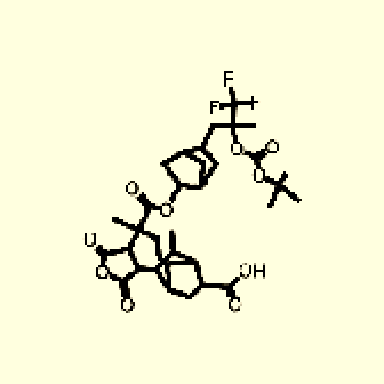 CCC(C)(C(=O)OC1CC2CC1CC2CC(C)(OC(=O)OC(C)(C)C)C(F)(F)F)C1C(=O)OC(=O)C1C1C2CC(C(=O)O)C(C2)C1C